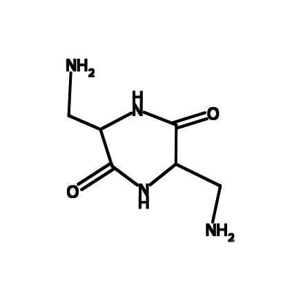 NCC1NC(=O)C(CN)NC1=O